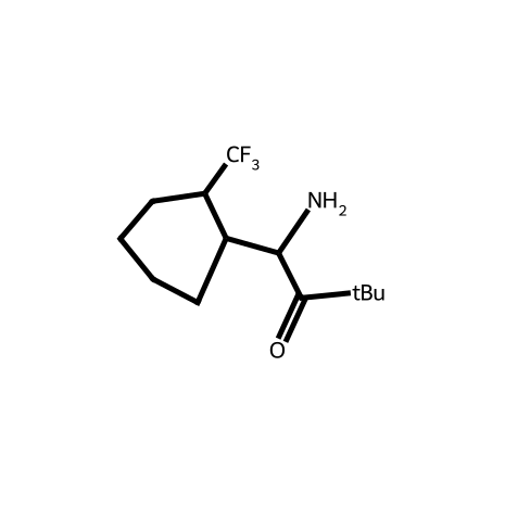 CC(C)(C)C(=O)C(N)C1CCCCC1C(F)(F)F